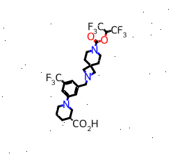 O=C(O)[C@H]1CCCN(c2cc(CN3CC4(CCN(C(=O)OC(C(F)(F)F)C(F)(F)F)CC4)C3)cc(C(F)(F)F)c2)C1